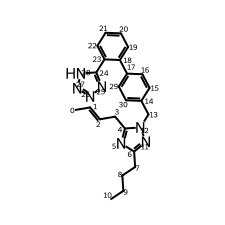 CC=CCc1nc(CCCC)nn1Cc1ccc(-c2ccccc2-c2nnn[nH]2)cc1